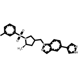 C[C@@H]1CC(Cn2ncc3cc(-c4cn[nH]c4)ccc32)CN1S(=O)(=O)c1cccc(F)c1